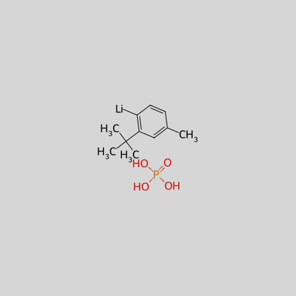 O=P(O)(O)O.[Li][c]1ccc(C)cc1C(C)(C)C